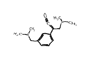 CN(C)CC(=C=O)c1cccc(CN(C)C)c1